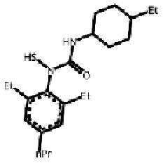 CCCc1cc(CC)c(N(S)C(=O)NC2CCC(CC)CC2)c(CC)c1